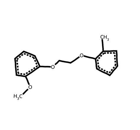 COc1ccccc1OCCOc1ccccc1C